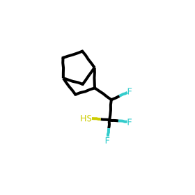 FC(C1CC2CCC1C2)C(F)(F)S